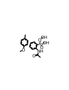 CC(=O)Nc1ccccc1[As](=O)(O)OO.COc1ccc(C)cc1